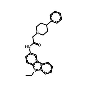 CCn1c2ccccc2c2cc(NC(=O)CN3CCC(c4ccccc4)CC3)ccc21